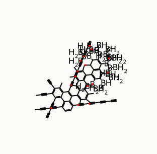 BBB(B)B(B(B)B)C1=C(B(B(B)B)B(B)B)C(B(BB)B(B)B)C(C)c2c1c(B)c(BB)c(B(B)B)c2-c1c(C)c(C)c(C)c2c(C)c3c(-c4c(C#CC#CC#CC#CC#C)c5c(C)c(C#C)c(C#CC)c(C#CC#C)c5c5c(C#CC#CC)ccc(C#CC#CC#CC#C)c45)c(C)c(C)c(C)c3c(C)c12